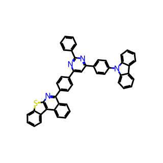 c1ccc(-c2nc(-c3ccc(-c4nc5sc6ccccc6c5c5ccccc45)cc3)cc(-c3ccc(-n4c5ccccc5c5ccccc54)cc3)n2)cc1